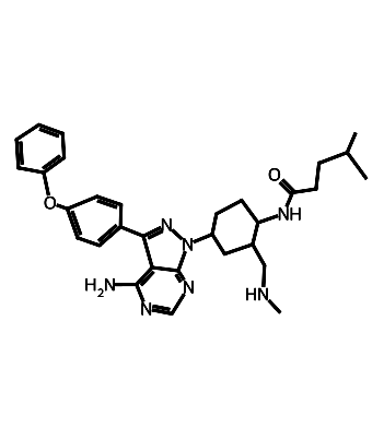 CNCC1CC(n2nc(-c3ccc(Oc4ccccc4)cc3)c3c(N)ncnc32)CCC1NC(=O)CCC(C)C